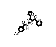 CC(=O)c1ccc(C(=O)Nc2nc(-c3ccco3)c(C(=O)c3ccccn3)s2)cc1